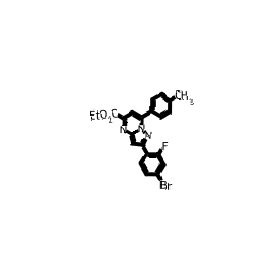 CCOC(=O)c1cc(-c2ccc(C)cc2)n2nc(-c3ccc(Br)cc3F)cc2n1